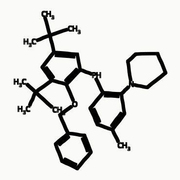 Cc1ccc(Pc2cc(C(C)(C)C)cc(C(C)(C)C)c2OCc2ccccc2)c(N2CCCCC2)c1